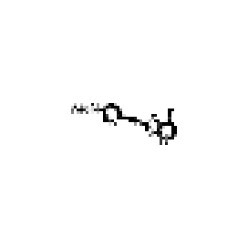 CNc1ccc(C#Cc2nc3nccc(F)c3s2)nc1